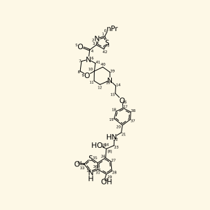 CCCc1nc(C(=O)N2CCOC3(CCN(CCOc4ccc(CNC[C@H](O)c5ccc(O)c6[nH]c(=O)sc56)cc4)CC3)C2)cs1